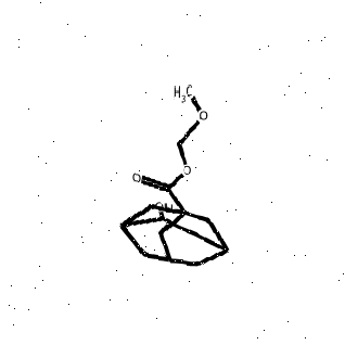 COCOC(=O)C12CC3CC(C1)C(O)C(C3)C2